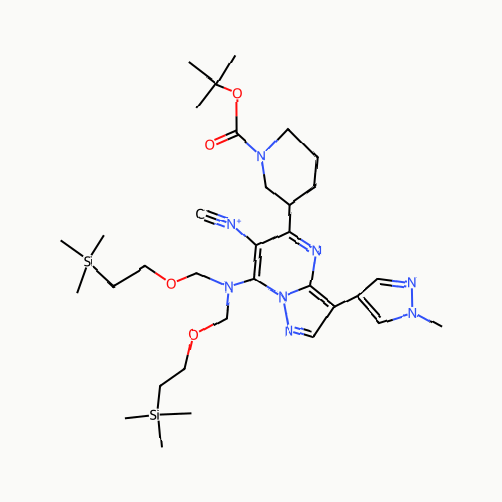 [C-]#[N+]c1c(C2CCCN(C(=O)OC(C)(C)C)C2)nc2c(-c3cnn(C)c3)cnn2c1N(COCC[Si](C)(C)C)COCC[Si](C)(C)C